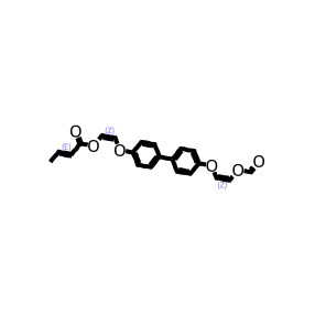 C/C=C/C(=O)O/C=C\Oc1ccc(-c2ccc(O/C=C\OC=O)cc2)cc1